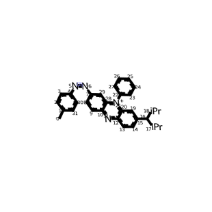 Cc1ccc(/N=N\c2ccc3nc4ccc(C(C(C)C)C(C)C)cc4[n+](-c4ccccc4)c3c2)cc1